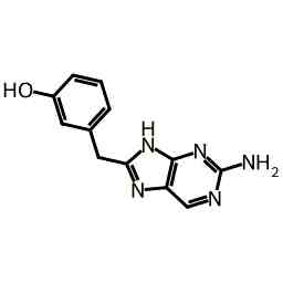 Nc1ncc2nc(Cc3cccc(O)c3)[nH]c2n1